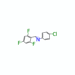 Fc1cc(F)c(/C=N/c2ccc(Cl)cc2)c(F)c1